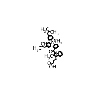 Cc1c(CCCC(=O)O)c2ccccn2c1C(=O)c1cccc([N+](C)(c2ccc(CC(C)C)cc2)c2ccc(CC(C)C)cc2)c1